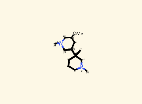 COC1CC(C2(C)CCCN(C)C2)CN(C)C1